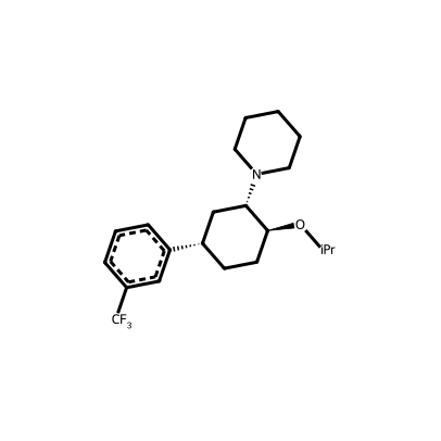 CC(C)O[C@H]1CC[C@H](c2cccc(C(F)(F)F)c2)C[C@@H]1N1CCCCC1